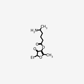 CCC1OC(C)=C(OC(=O)CCCC(C)N)C1=O